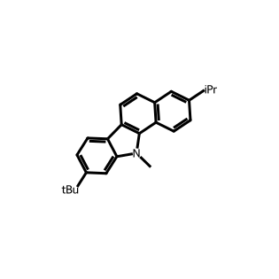 CC(C)c1ccc2c(ccc3c4ccc(C(C)(C)C)cc4n(C)c23)c1